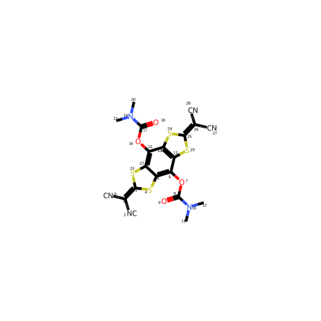 [C-]#[N+]C([N+]#[C-])=C1Sc2c(OC(=O)N(C)C)c3c(c(OC(=O)N(C)C)c2S1)SC(=C(C#N)C#N)S3